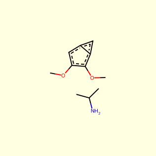 CC(C)N.COc1cc2cc-2c1OC